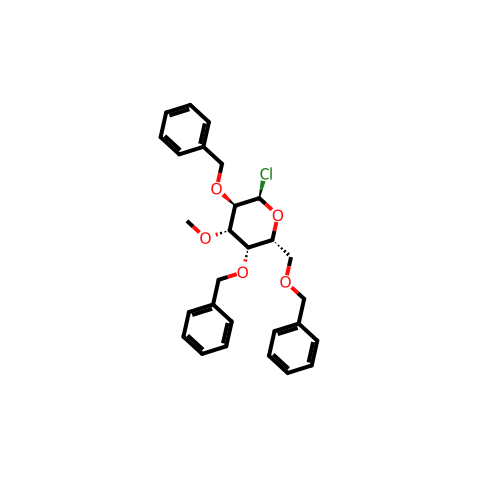 CO[C@@H]1[C@@H](OCc2ccccc2)[C@@H](Cl)O[C@H](COCc2ccccc2)[C@@H]1OCc1ccccc1